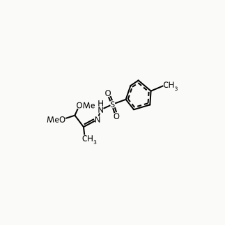 COC(OC)C(C)=NNS(=O)(=O)c1ccc(C)cc1